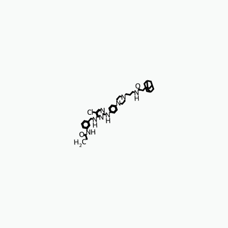 C=CC(=O)Nc1cccc(CNc2nc(Nc3ccc(N4CCN(CCCNC(=O)CC56CC7CC(CC(C7)C5)C6)CC4)cc3)ncc2Cl)c1